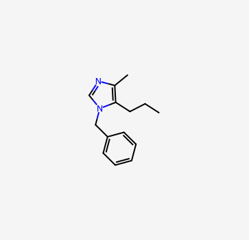 CCCc1c(C)ncn1Cc1ccccc1